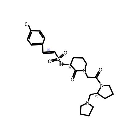 O=C1[C@@H](NS(=O)(=O)/C=C/c2ccc(Cl)cc2)CCCN1CC(=O)N1CCC[C@H]1CN1CCCC1